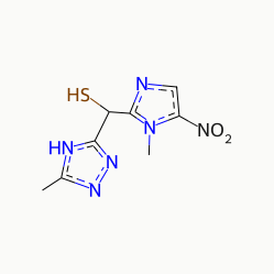 Cc1nnc(C(S)c2ncc([N+](=O)[O-])n2C)[nH]1